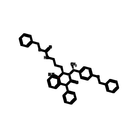 C[C@H](c1ccc(OCc2ccccc2)cc1)N(C(=O)C(c1ccccc1)c1ccccc1)[C@H](CCCNC(=O)OCc1ccccc1)C(N)=O